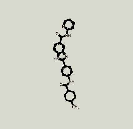 CC1CCC(C(=O)Nc2ccc(-c3nc4cc(C(=O)Nc5ccccn5)ccc4[nH]3)cc2)CC1